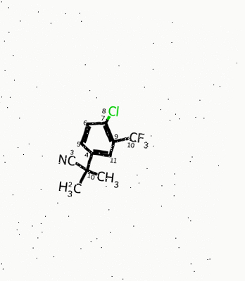 CC(C)(C#N)c1ccc(Cl)c(C(F)(F)F)c1